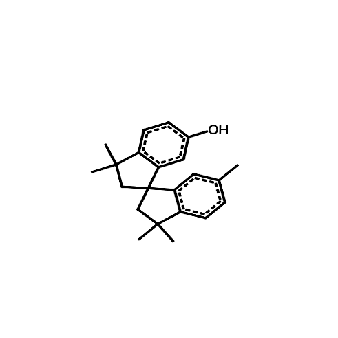 Cc1ccc2c(c1)C1(CC2(C)C)CC(C)(C)c2ccc(O)cc21